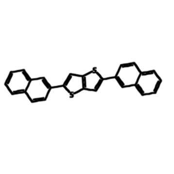 c1ccc2cc(-c3cc4sc(-c5ccc6ccccc6c5)cc4s3)ccc2c1